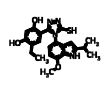 CCc1cc(-c2nnc(S)n2-c2ccc(OC)c3[nH]c(C(C)C)cc23)c(O)cc1O